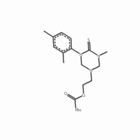 Cc1ccc(N2CN(CCOC(=O)C(C)(C)C)CN(C)C2=S)c(C)c1